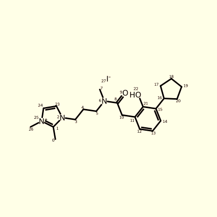 Cc1n(CCCN(C)C(=O)Cc2cccc(C3CCCC3)c2O)cc[n+]1C.[I-]